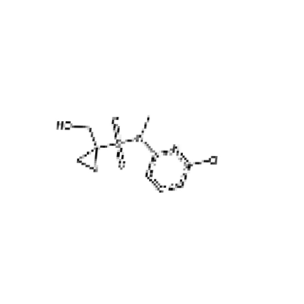 CN(c1cccc(Cl)n1)S(=O)(=O)C1(CO)CC1